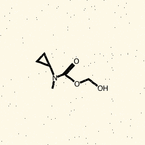 CN(C(=O)OCO)C1CC1